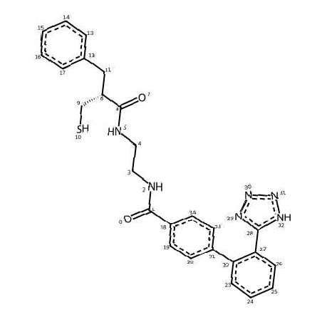 O=C(NCCNC(=O)[C@H](CS)Cc1ccccc1)c1ccc(-c2ccccc2-c2nnn[nH]2)cc1